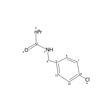 CCCC(=O)NCc1ccc(Cl)cc1